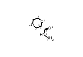 NNC(=O)[C@@H]1COCCO1